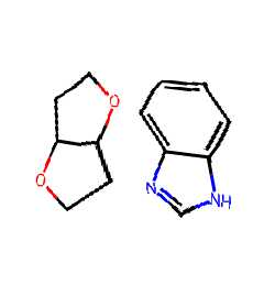 C1CC2OCCC2O1.c1ccc2[nH]cnc2c1